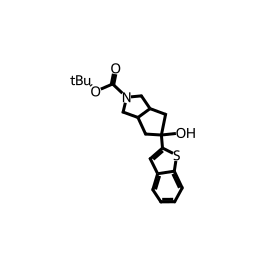 CC(C)(C)OC(=O)N1CC2CC(O)(c3cc4ccccc4s3)CC2C1